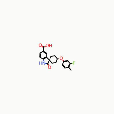 Cc1ccc(O[C@H]2CC[C@@]3(CC2)C(=O)Nc2ccc(C(=O)O)cc23)cc1F